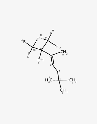 C/C(=C\CC(C)(C)C)C(O)(C(F)(F)F)C(F)(F)F